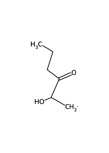 [CH2]C(O)C(=O)CCC